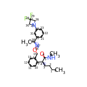 CCC/C=C(\C(=O)NC)c1ccccc1CO/N=C(\C)c1cccc(N2CC(F)(F)C2)c1